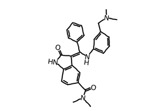 CN(C)Cc1cccc(NC(=C2C(=O)Nc3ccc(C(=O)N(C)C)cc32)c2ccccc2)c1